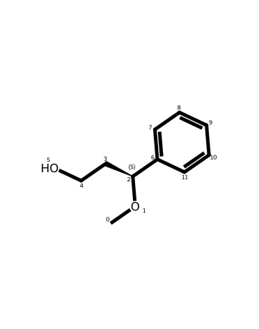 CO[C@@H](CCO)c1ccccc1